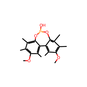 COc1c(C)c(C)c2op(O)oc3c(C)c(C)c(OC)c(C)c3c2c1C